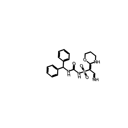 N=C/C(=C1\NCCCO1)S(=O)(=O)NC(=O)NC(c1ccccc1)c1ccccc1